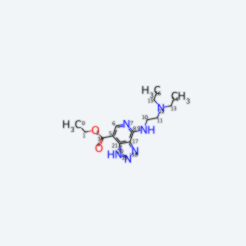 CCOC(=O)c1cnc(NCCN(CC)CC)c2nn[nH]c12